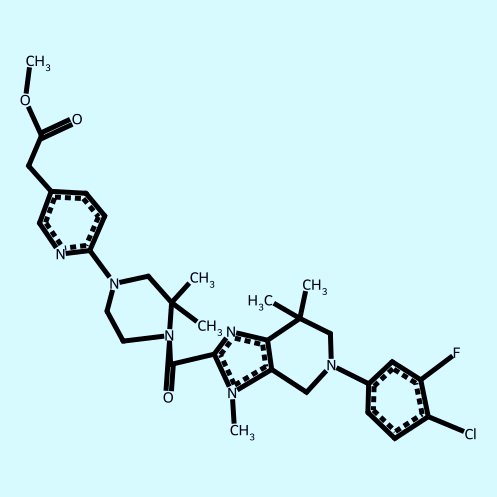 COC(=O)Cc1ccc(N2CCN(C(=O)c3nc4c(n3C)CN(c3ccc(Cl)c(F)c3)CC4(C)C)C(C)(C)C2)nc1